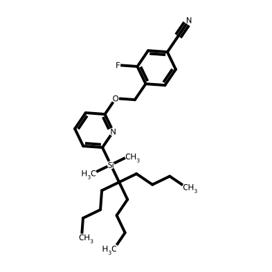 CCCCC(CCCC)(CCCC)[Si](C)(C)c1cccc(OCc2ccc(C#N)cc2F)n1